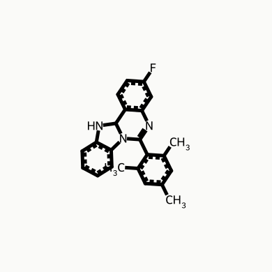 Cc1cc(C)c(C2=Nc3cc(F)ccc3C3Nc4ccccc4N23)c(C)c1